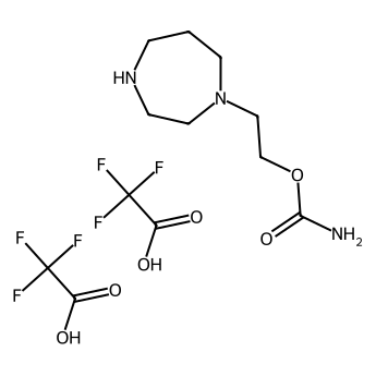 NC(=O)OCCN1CCCNCC1.O=C(O)C(F)(F)F.O=C(O)C(F)(F)F